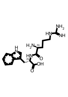 N=C(N)NCCC[C@H](N)C(=O)N[C@@H](Cc1c[nH]c2ccccc12)C(=O)O